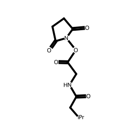 CC(C)CC(=O)NCC(=O)ON1C(=O)CCC1=O